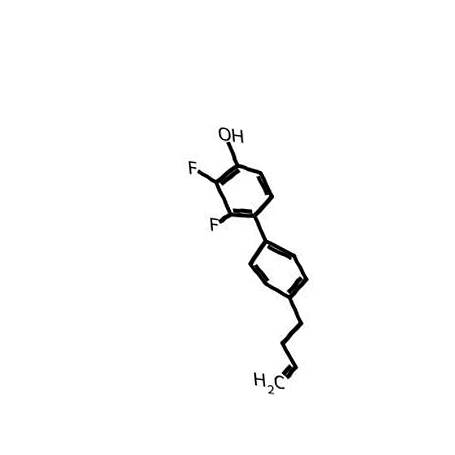 C=CCCc1ccc(-c2ccc(O)c(F)c2F)cc1